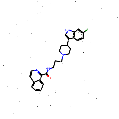 O=C(NCCCN1CCC(c2c[nH]c3cc(F)ccc23)CC1)c1nccc2ccccc12